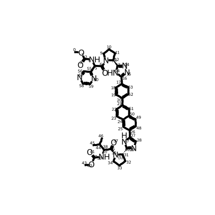 COC(=O)NC(C(=O)N1CCC[C@H]1c1nnc(-c2ccc(-c3ccc4cc(-c5cnc([C@@H]6CCCN6C(=O)[C@@H](NC(=O)OC)C(C)C)[nH]5)ccc4c3)cc2)[nH]1)c1cnccn1